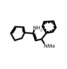 CNC(/C=C(\N)C1=CC=CCC1)c1ccccc1